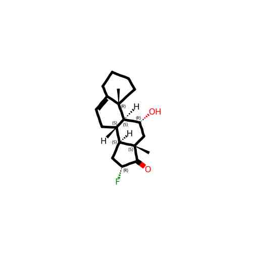 C[C@]12CCCCC1=CC[C@@H]1[C@@H]2[C@H](O)C[C@]2(C)C(=O)[C@H](F)C[C@@H]12